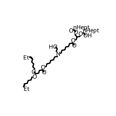 CC/C=C\CCCCOC(CCC(=O)OCCCCCCCN(CCO)CCCCCCC(=O)OCC(COC(=O)CCCCCCC)COC(O)CCCCCCC)OCCCC/C=C\CC